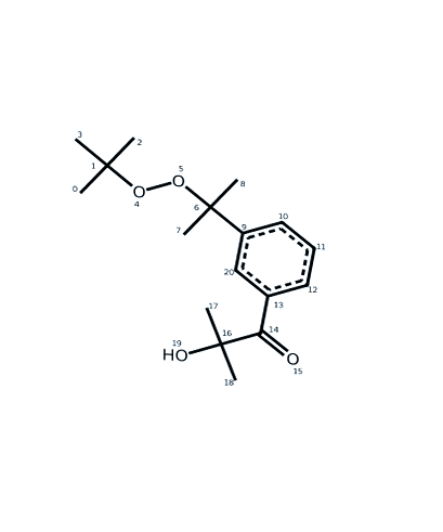 CC(C)(C)OOC(C)(C)c1cccc(C(=O)C(C)(C)O)c1